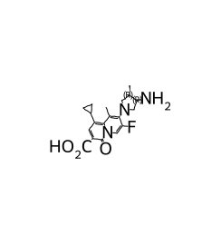 Cc1c(N2C[C@@H](C)[C@@H](N)C2)c(F)cn2c(=O)c(C(=O)O)cc(C3CC3)c12